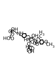 COc1ccc2c(c1)C(C)CN(C[C@@H](O)[C@H](Cc1ccc(CNCCP(=O)(O)OCC(=O)O)cc1)NC(=O)O[C@H]1CO[C@H]3OCC[C@H]31)S2(=O)=O